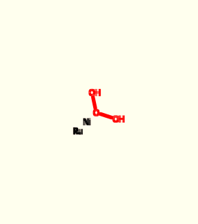 OOO.[Ni].[Ru]